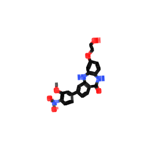 COc1cc(-c2ccc3c(c2)Nc2cc(OCCO)ccc2NC3=O)ccc1[N+](=O)[O-]